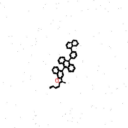 C=C/C=C\c1oc2c(cc(-c3c4ccccc4c(-c4cccc(-c5cccc6ccccc56)c4)c4ccccc34)c3ccccc32)c1C